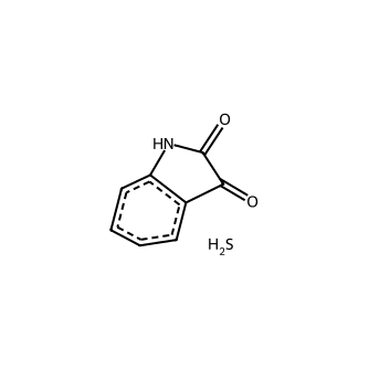 O=C1Nc2ccccc2C1=O.S